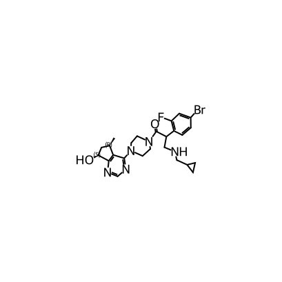 C[C@@H]1C[C@H](O)c2ncnc(N3CCN(C(=O)C(CNCC4CC4)c4ccc(Br)cc4F)CC3)c21